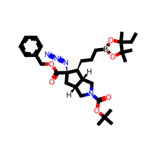 CCC1(C)OB(CCC[C@H]2[C@@H]3CN(C(=O)OC(C)(C)C)C[C@@H]3C[C@@]2(N=[N+]=[N-])C(=O)OCc2ccccc2)OC1(C)C